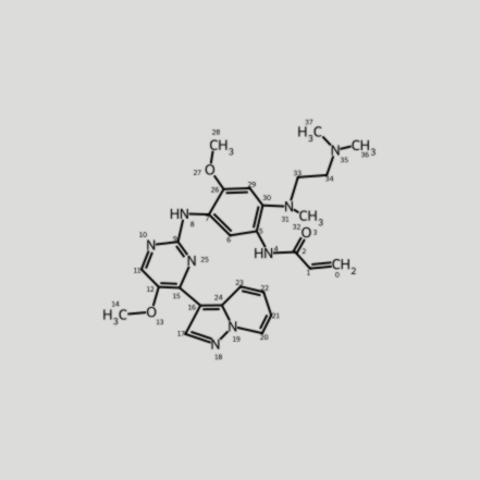 C=CC(=O)Nc1cc(Nc2ncc(OC)c(-c3cnn4ccccc34)n2)c(OC)cc1N(C)CCN(C)C